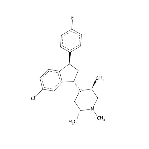 C[C@@H]1CN([C@H]2C[C@H](c3ccc(F)cc3)c3ccc(Cl)cc32)[C@@H](C)CN1C